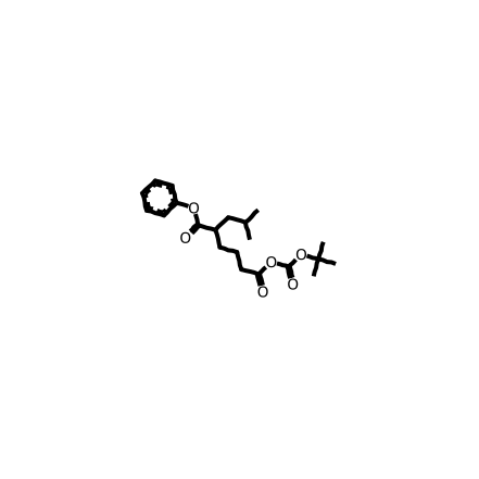 CC(C)CC(CCCC(=O)OC(=O)OC(C)(C)C)C(=O)Oc1ccccc1